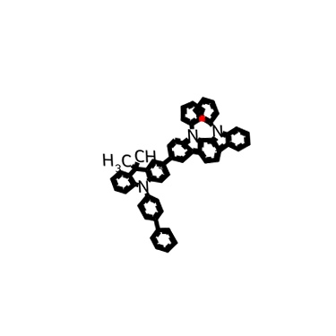 CC1(C)c2ccccc2N(c2ccc(-c3ccccc3)cc2)c2ccc(-c3ccc4c(c3)c3ccc5c6ccccc6n(-c6ccccc6)c5c3n4-c3ccccc3)cc21